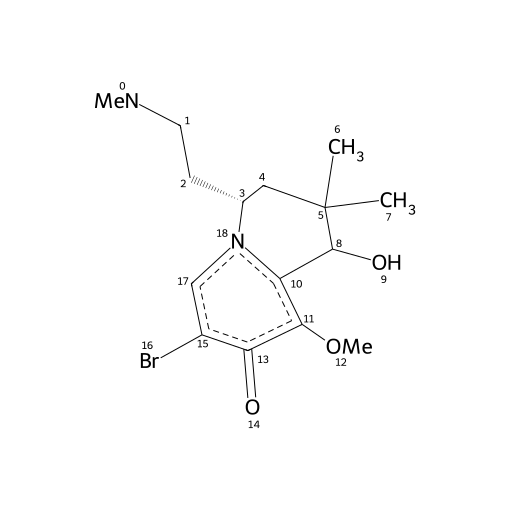 CNCC[C@@H]1CC(C)(C)C(O)c2c(OC)c(=O)c(Br)cn21